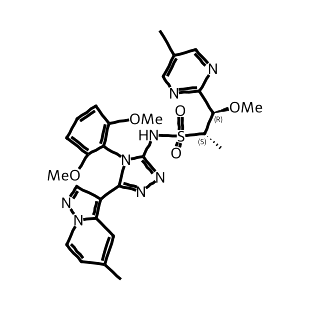 COc1cccc(OC)c1-n1c(NS(=O)(=O)[C@@H](C)[C@H](OC)c2ncc(C)cn2)nnc1-c1cnn2ccc(C)cc12